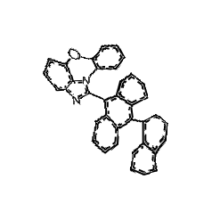 c1ccc2c(c1)Oc1cccc3nc(-c4c5ccccc5c(-c5cccc6ccccc56)c5ccccc45)n-2c13